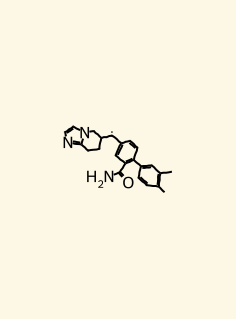 Cc1ccc(-c2ccc([CH]C3CCc4nccn4C3)cc2C(N)=O)cc1C